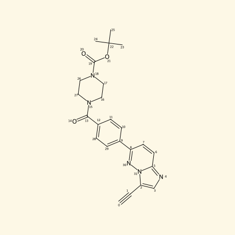 C#Cc1cnc2ccc(-c3ccc(C(=O)N4CCN(C(=O)OC(C)(C)C)CC4)cc3)nn12